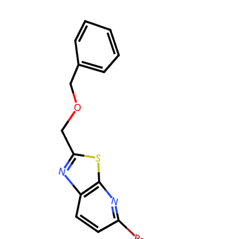 Brc1ccc2nc(COCc3ccccc3)sc2n1